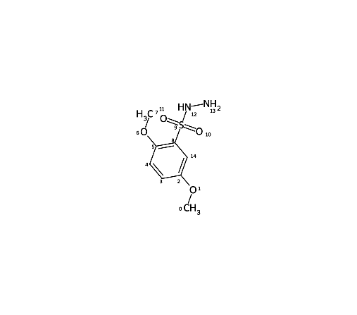 COc1ccc(OC)c(S(=O)(=O)NN)c1